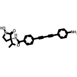 CC(C)[C@@]1(NC(=O)c2ccc(C#CC#Cc3ccc(N)cc3)cc2)CCN(O)C1=O